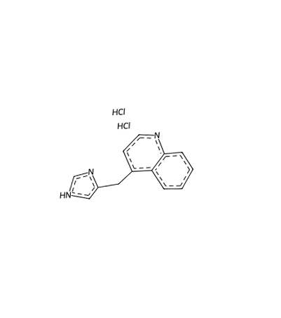 Cl.Cl.c1ccc2c(Cc3c[nH]cn3)ccnc2c1